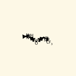 O=C(N1CC2(CC(Cc3noc(C(F)(F)F)n3)C2)C1)N1CC2(CC(c3nc(C4CC4)n[nH]3)C2)C1